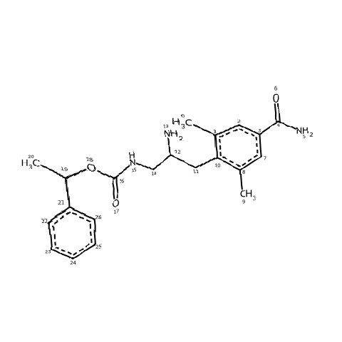 Cc1cc(C(N)=O)cc(C)c1CC(N)CNC(=O)OC(C)c1ccccc1